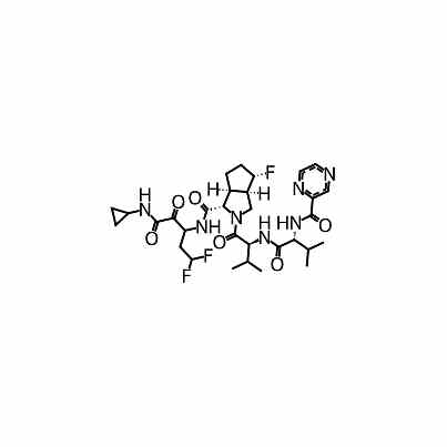 CC(C)[C@H](NC(=O)[C@H](NC(=O)c1cnccn1)C(C)C)C(=O)N1C[C@H]2[C@H](CC[C@@H]2F)[C@H]1C(=O)NC(CC(F)F)C(=O)C(=O)NC1CC1